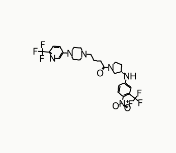 O=C(CCCN1CCN(c2ccc(C(F)(F)F)nc2)CC1)N1CC[C@@H](Nc2ccc([N+](=O)[O-])c(C(F)(F)F)c2)C1